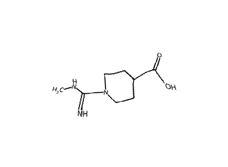 CNC(=N)N1CCC(C(=O)O)CC1